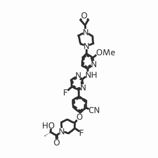 COc1nc(Nc2ncc(F)c(-c3ccc(OC4CCN(C(=O)[C@H](C)O)CC4F)c(C#N)c3)n2)ccc1N1CCN(C2COC2)CC1